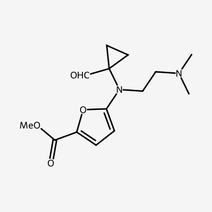 COC(=O)c1ccc(N(CCN(C)C)C2(C=O)CC2)o1